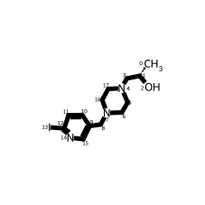 C[C@H](O)CN1CCN(Cc2ccc(I)nc2)CC1